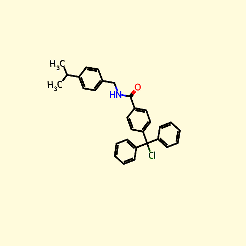 CC(C)c1ccc(CNC(=O)c2ccc(C(Cl)(c3ccccc3)c3ccccc3)cc2)cc1